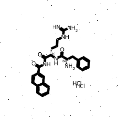 Cl.Cl.N=C(N)NCCC[C@H](NC(=O)[C@@H](N)Cc1ccccc1)C(=O)NC(=O)c1ccc2ccccc2c1